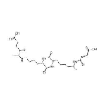 CC(CCCCC1NC(=O)C(CCCCNC(C)C(=O)C=CC(=O)O)NC1=O)NC(=O)C=CC(=O)O